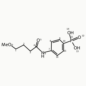 COCCCC(=O)Nc1ccc(P(=O)(O)O)cc1